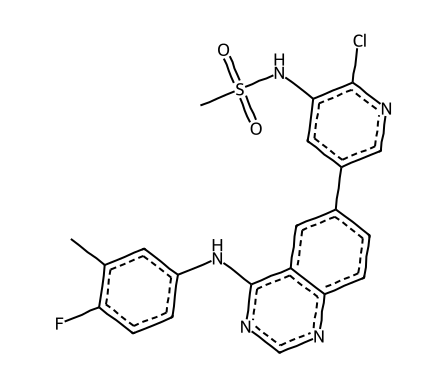 Cc1cc(Nc2ncnc3ccc(-c4cnc(Cl)c(NS(C)(=O)=O)c4)cc23)ccc1F